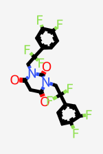 O=C1CC(=O)N(CC(F)(F)c2ccc(F)c(F)c2)C(=O)N1CC(F)(F)c1ccc(F)c(F)c1